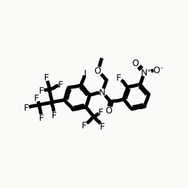 COCN(C(=O)c1cccc([N+](=O)[O-])c1F)c1c(I)cc(C(F)(C(F)(F)F)C(F)(F)F)cc1C(F)(F)F